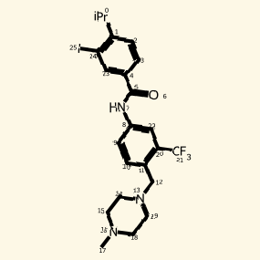 CC(C)c1ccc(C(=O)Nc2ccc(CN3CCN(C)CC3)c(C(F)(F)F)c2)cc1I